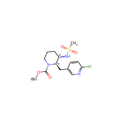 CC(C)(C)OC(=O)N1CCC[C@@H](NS(C)(=O)=O)[C@H]1Cc1ccc(Cl)nc1